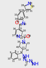 C/C(N=N)=N/NC(c1ccccc1)C1CCN(C(=O)c2cc(-c3nc4cc(-c5cnsc5)ccc4o3)ccn2)CC1